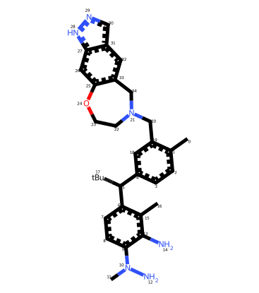 Cc1ccc(C(c2ccc(N(C)N)c(N)c2C)C(C)(C)C)cc1CN1CCOc2cc3[nH]ncc3cc2C1